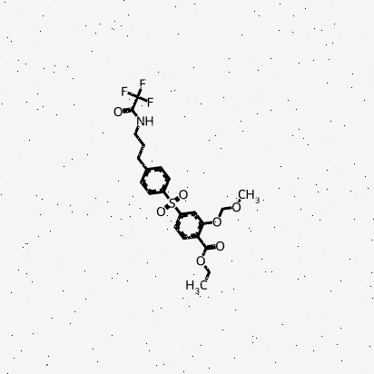 CCOC(=O)c1ccc(S(=O)(=O)c2ccc(CCCNC(=O)C(F)(F)F)cc2)cc1OCOC